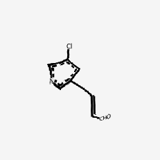 O=C/C=C/c1cncc(Cl)c1